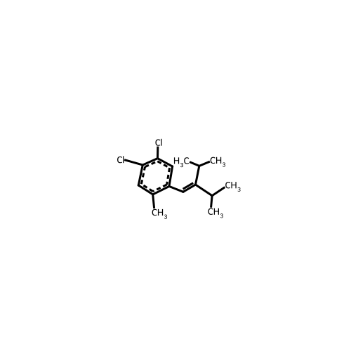 Cc1cc(Cl)c(Cl)cc1C=C(C(C)C)C(C)C